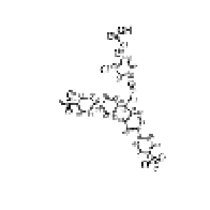 CS(=O)(=O)c1ccc(-c2ccc(C(=CCOc3ccc(OCC(=O)O)c(Cl)c3)c3ccc(-c4ccc(S(C)(=O)=O)cc4)cc3)cc2)cc1